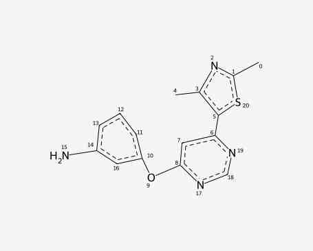 Cc1nc(C)c(-c2cc(Oc3cccc(N)c3)ncn2)s1